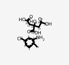 Cc1ccc(Cl)cc1N.O=C(O)CC(O)(CC(=O)O)C(=O)O